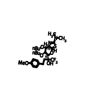 CCCCO[C@@H]1[C@H]2N=C(N(C)C)S[C@H]2O[C@H](C(O)(CCc2ccc(OC)cc2)C(F)(F)F)[C@H]1OCCCC